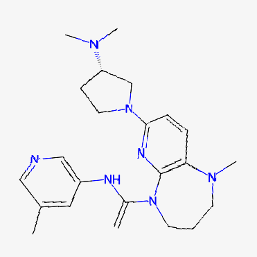 C=C(Nc1cncc(C)c1)N1CCCN(C)c2ccc(N3CC[C@H](N(C)C)C3)nc21